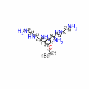 CCCCC(CC)COc1cc(CC(N)CCNCCCN)cc(CC(N)CCNCCCN)c1